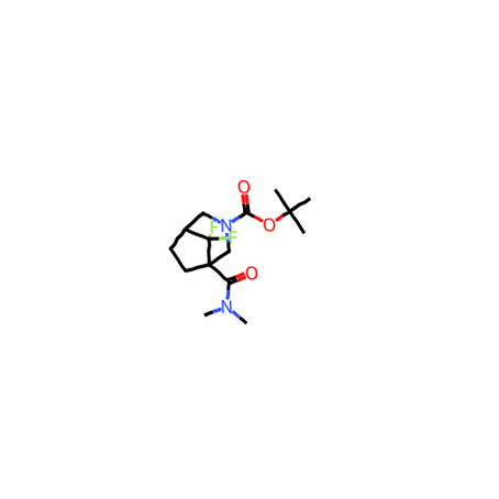 CN(C)C(=O)C12CCC(CN(C(=O)OC(C)(C)C)C1)C2(F)F